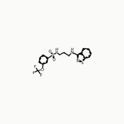 O=S(=O)(NCCCNc1nsc2ccccc12)c1cccc(OC(F)(F)F)c1